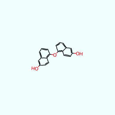 Oc1ccc2c(Oc3cccc4cc(O)ccc34)cccc2c1